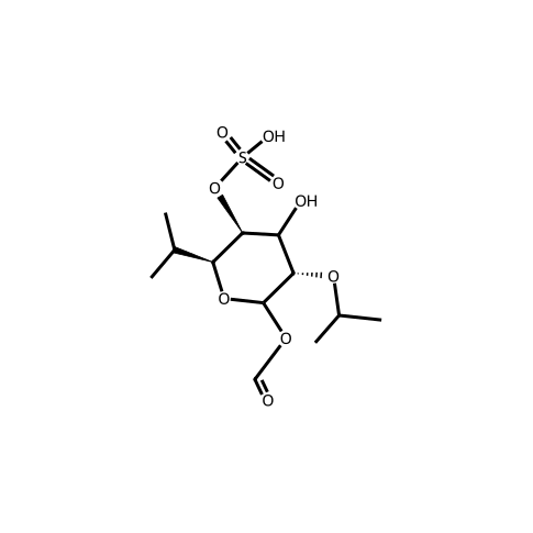 CC(C)O[C@@H]1C(OC=O)O[C@@H](C(C)C)[C@@H](OS(=O)(=O)O)C1O